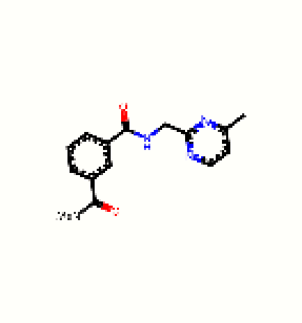 CNC(=O)c1cccc(C(=O)NCc2nccc(C)n2)c1